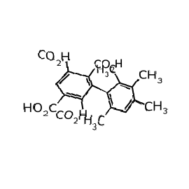 Cc1cc(C)c(-c2c(C(=O)O)c(C(=O)O)cc(C(=O)O)c2C(=O)O)c(C)c1C